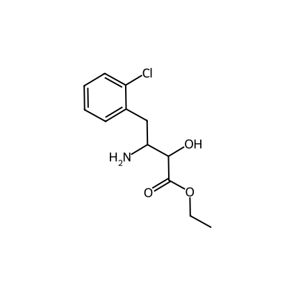 CCOC(=O)C(O)C(N)Cc1ccccc1Cl